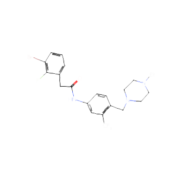 CCN1CCN(Cc2ccc(NC(=O)Cc3cccc(Br)c3F)cc2C(F)(F)F)CC1